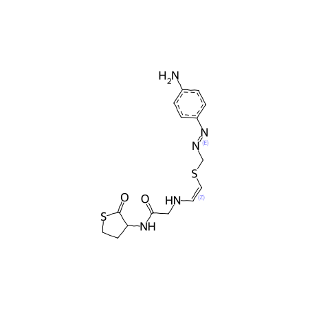 Nc1ccc(/N=N/CS/C=C\NCC(=O)NC2CCSC2=O)cc1